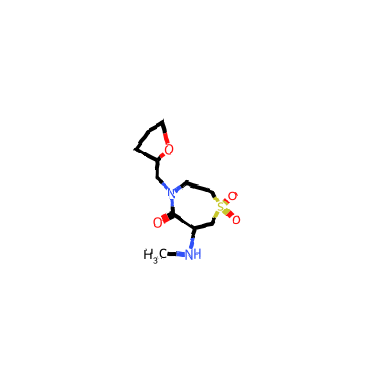 CNC1CS(=O)(=O)CCN(CC2CCCO2)C1=O